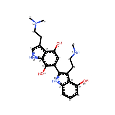 CNCCc1c(-c2cc(O)c3c(CCN(C)C)c[nH]c3c2O)[nH]c2cccc(O)c12